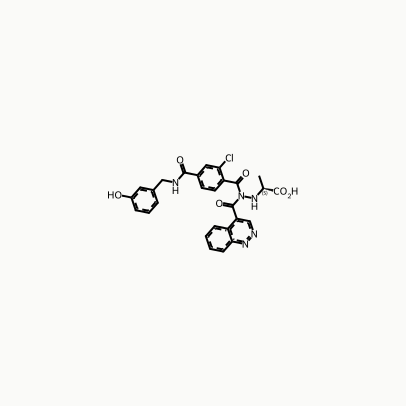 C[C@H](NN(C(=O)c1ccc(C(=O)NCc2cccc(O)c2)cc1Cl)C(=O)c1cnnc2ccccc12)C(=O)O